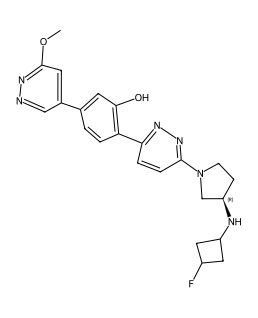 COc1cc(-c2ccc(-c3ccc(N4CC[C@@H](NC5CC(F)C5)C4)nn3)c(O)c2)cnn1